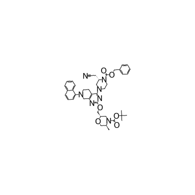 C[C@H]1CO[C@@H](COc2nc3c(c(N4CCN(C(=O)OCc5ccccc5)[C@@H](CC#N)C4)n2)CCN(c2cccc4ccccc24)C3)CN1C(=O)OC(C)(C)C